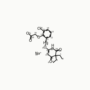 CCC1(CC)C(=O)N=C([O][Hg][c]2cccc(Cl)c2OCC(=O)[O-])NC1=O.[Na+]